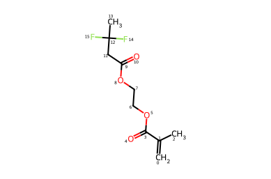 C=C(C)C(=O)OCCOC(=O)CC(C)(F)F